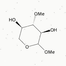 COC1OC[C@@H](O)[C@H](OC)[C@H]1O